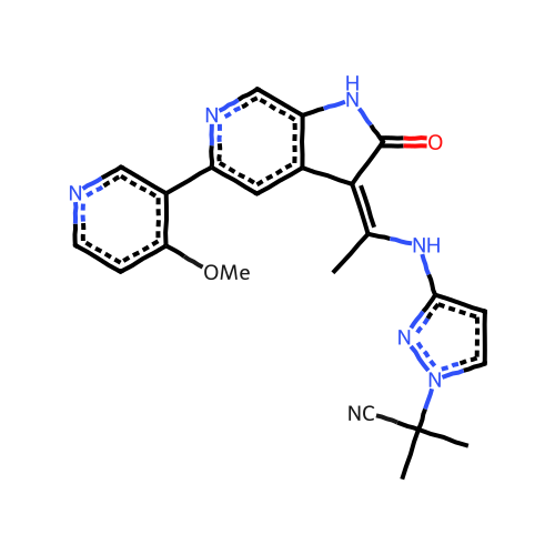 COc1ccncc1-c1cc2c(cn1)NC(=O)/C2=C(/C)Nc1ccn(C(C)(C)C#N)n1